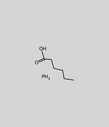 CCCCCC(=O)O.P